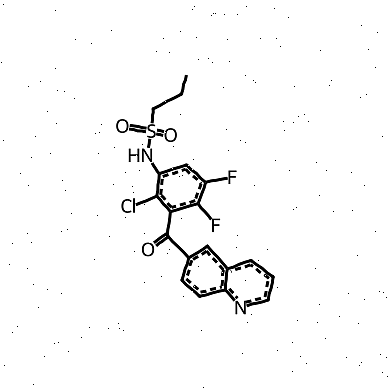 CCCS(=O)(=O)Nc1cc(F)c(F)c(C(=O)c2ccc3ncccc3c2)c1Cl